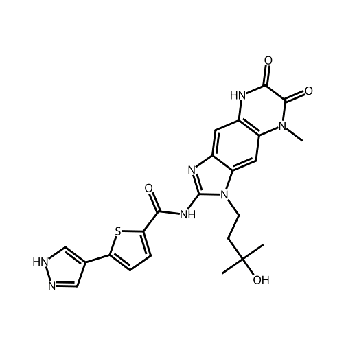 Cn1c(=O)c(=O)[nH]c2cc3nc(NC(=O)c4ccc(-c5cn[nH]c5)s4)n(CCC(C)(C)O)c3cc21